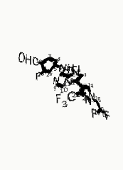 Cl.O=Cc1ccc(Nc2nccn3c(-c4cn(CC(F)F)nc4C(F)(F)F)cnc23)cc1F